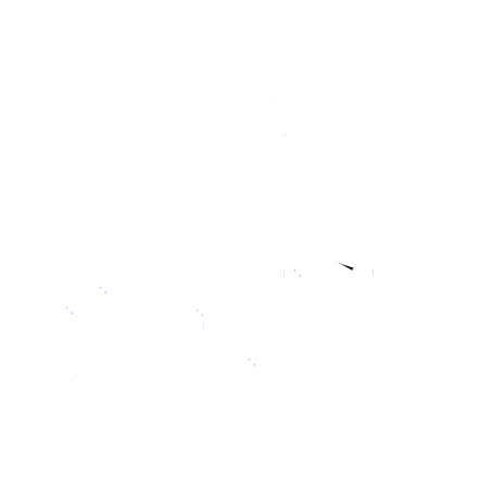 Cc1cc([C@@H](C)Nc2cccnc2C(=O)NCc2nnc(O)o2)c2oc(-c3ccccc3)c(C)c(=O)c2c1